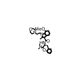 COc1cccc2c(C(=O)N[C@@H](Cc3ccccc3)C(=O)N(C)C)c(C)n(CCN3CCOCC3)c12